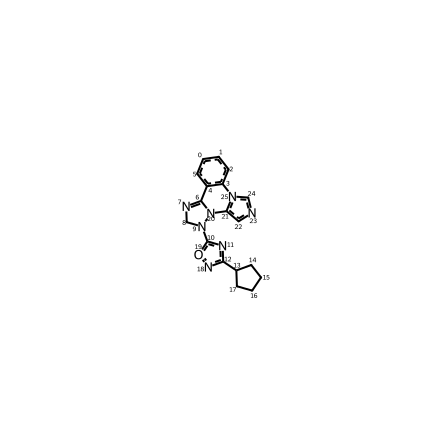 c1ccc2c(c1)C1=NCN(c3nc(C4CCCC4)no3)N1c1cncn1-2